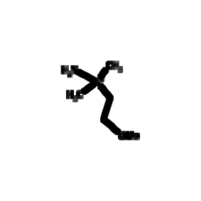 COCC[N+](C)(C)N